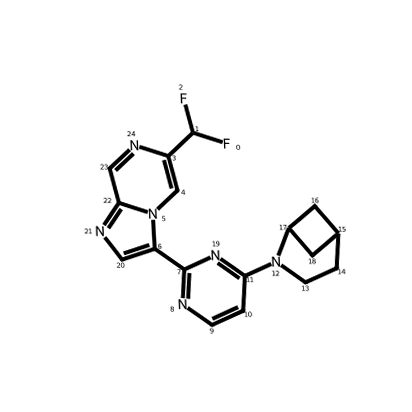 FC(F)c1cn2c(-c3nccc(N4CCC5CC4C5)n3)cnc2cn1